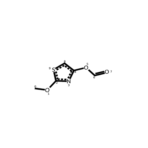 COc1nc(OC=O)cs1